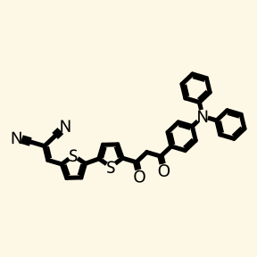 N#CC(C#N)=Cc1ccc(-c2ccc(C(=O)CC(=O)c3ccc(N(c4ccccc4)c4ccccc4)cc3)s2)s1